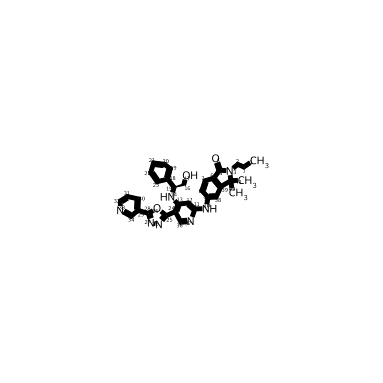 CCCN1C(=O)c2ccc(Nc3cc(N[C@H](CO)c4ccccc4)c(-c4nnc(-c5cccnc5)o4)cn3)cc2C1(C)C